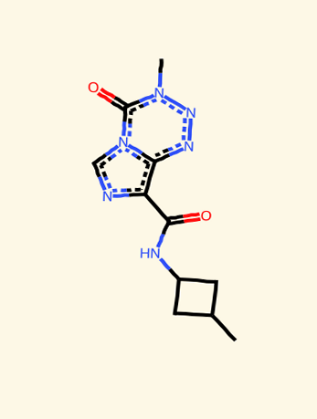 CC1CC(NC(=O)c2ncn3c(=O)n(C)nnc23)C1